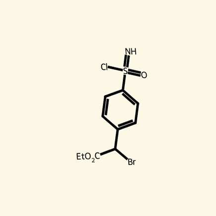 CCOC(=O)C(Br)c1ccc(S(=N)(=O)Cl)cc1